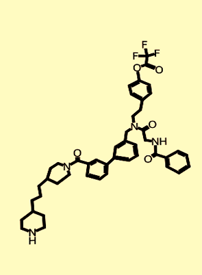 O=C(NCC(=O)N(CCc1ccc(OC(=O)C(F)(F)F)cc1)Cc1cccc(-c2cccc(C(=O)N3CCC(CCCC4CCNCC4)CC3)c2)c1)c1ccccc1